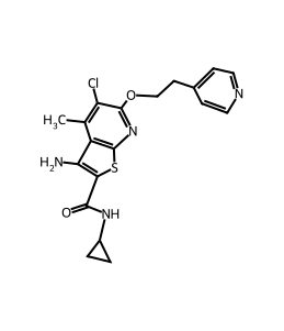 Cc1c(Cl)c(OCCc2ccncc2)nc2sc(C(=O)NC3CC3)c(N)c12